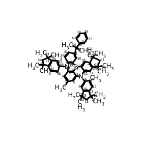 Cc1cc2c3c(c1)N(c1cc4c(cc1C)C(C)(C)CC4(C)C)c1cc4c(cc1B3c1cc(C(C)(C)c3ccccc3)ccc1N2c1ccc2c(c1)C(C)(C)CC2(C)C)C(C)(C)CC4(C)C